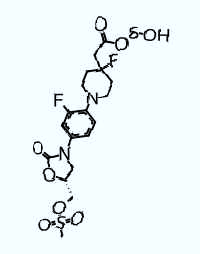 CS(=O)(=O)OC[C@H]1CN(c2ccc(N3CCC(F)(CC(=O)OSO)CC3)c(F)c2)C(=O)O1